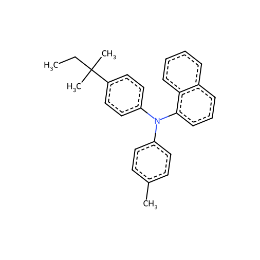 CCC(C)(C)c1ccc(N(c2ccc(C)cc2)c2cccc3ccccc23)cc1